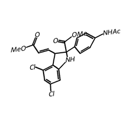 COC(=O)C=CC1c2c(Cl)cc(Cl)cc2NC1(C(=O)OC)c1ccc(NC(C)=O)cc1